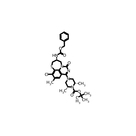 Cc1cc2c(N3C[C@@H](C)N(C(=O)OC(C)(C)C)[C@@H](C)C3)nc(=O)n3c2c(c1Cl)SC[C@@H](NC(=O)OCc1ccccc1)C3